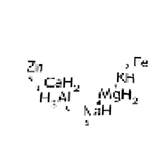 [AlH3].[CaH2].[Fe].[KH].[MgH2].[NaH].[Zn]